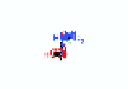 CCCCCCN(CCOc1ccc(CCCCNC(=N)NC(=O)c2nc(Cl)c(N)nc2N)cc1)C[C@@H](O)[C@H](O)[C@H](O)[C@@H](C=O)CO